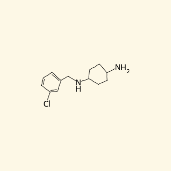 NC1CCC(NCc2cccc(Cl)c2)CC1